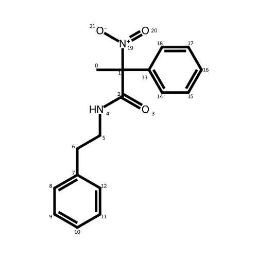 CC(C(=O)NCCc1ccccc1)(c1ccccc1)[N+](=O)[O-]